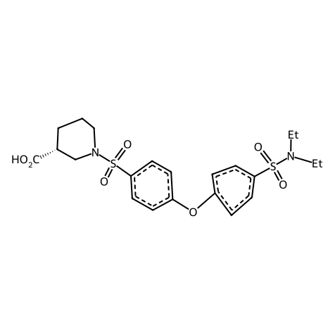 CCN(CC)S(=O)(=O)c1ccc(Oc2ccc(S(=O)(=O)N3CCC[C@@H](C(=O)O)C3)cc2)cc1